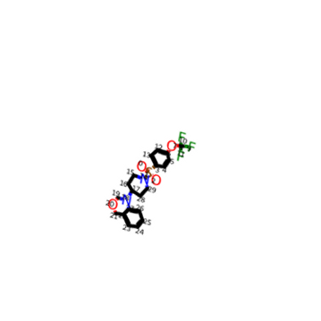 O=S(=O)(c1ccc(OC(F)(F)F)cc1)N1CCC(N2COCc3ccccc32)CC1